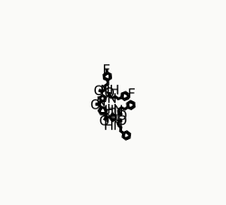 O=C(NCCc1ccccc1)[C@H]1CN(C(=O)c2ccc(C(=O)N3C[C@H](C(=O)NCCc4ccc(F)cc4)[C@@H](C(=O)NCCc4ccc(F)cc4)C3)cc2)C[C@@H]1C(=O)NCCc1ccccc1